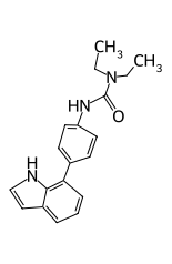 CCN(CC)C(=O)Nc1ccc(-c2cccc3cc[nH]c23)cc1